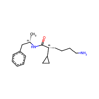 C[C@@H](Cc1ccccc1)NC(=O)[C@H](CCCCN)C1CC1